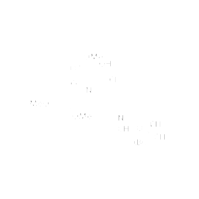 COC(=O)c1c(O)c(C)c(-c2ccc3c(c2)cc(CO[Si](C)(C)C(C)(C)C)n3C)n(Cc2ccc(OC)cc2OC)c1=O